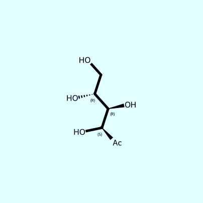 CC(=O)[C@@H](O)[C@H](O)[C@H](O)CO